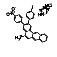 Cl.Cl.O=[N+]([O-])c1ccc(-c2cc3c(P)cc4cc5ccccc5cc4c3cc2-c2ccc(I)cc2)cc1.c1nnn[nH]1